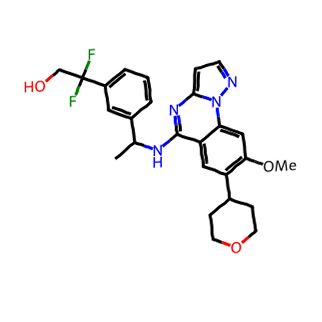 COc1cc2c(cc1C1CCOCC1)c(NC(C)c1cccc(C(F)(F)CO)c1)nc1ccnn12